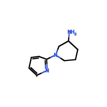 NC1CCCN(c2ccc[c]n2)C1